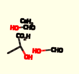 CC(O)C(=O)O.O=CO.O=CO.[CaH2]